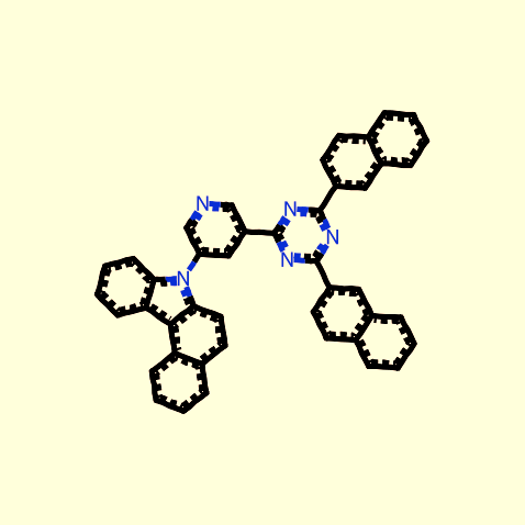 c1ccc2cc(-c3nc(-c4cncc(-n5c6ccccc6c6c7ccccc7ccc65)c4)nc(-c4ccc5ccccc5c4)n3)ccc2c1